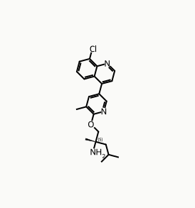 Cc1cc(-c2ccnc3c(Cl)cccc23)cnc1OC[C@@](C)(N)CC(C)C